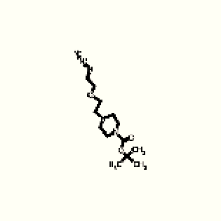 CC(C)(C)OC(=O)N1CCN(CCOCCN=[N+]=[N-])CC1